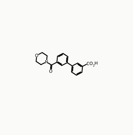 O=C(O)c1cccc(-c2cccc(C(=O)N3CCOCC3)c2)c1